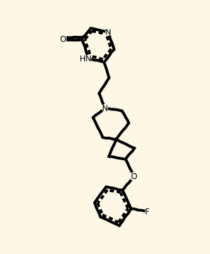 O=c1cncc(CCN2CCC3(CC2)CC(Oc2ccccc2F)C3)[nH]1